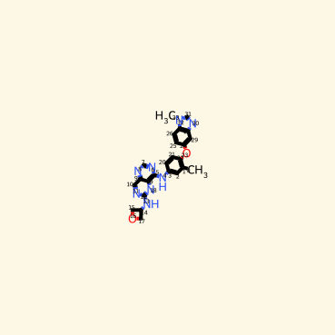 Cc1cc(Nc2ncnc3cnc(NC4COC4)nc23)ccc1Oc1ccc2c(c1)ncn2C